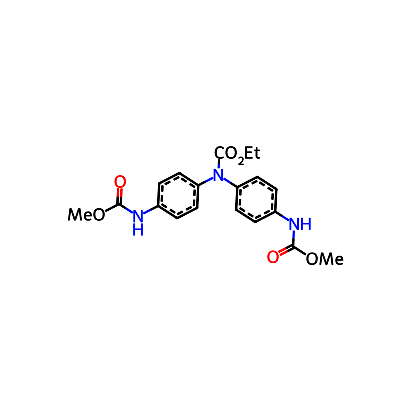 CCOC(=O)N(c1ccc(NC(=O)OC)cc1)c1ccc(NC(=O)OC)cc1